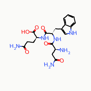 NC(=O)CC[C@H](NC(=O)[C@H](Cc1c[nH]c2ccccc12)NC(=O)[C@@H](N)CC(N)=O)C(=O)O